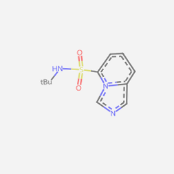 CC(C)(C)NS(=O)(=O)c1cccc2cncn12